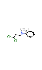 O=C(O)N(CCC(Cl)Cl)c1ccccc1